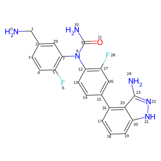 NCc1ccc(F)c(N(C(N)=O)c2ccc(-c3cccc4[nH]nc(N)c34)cc2F)c1